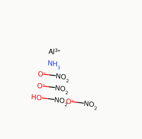 N.O=[N+]([O-])O.O=[N+]([O-])[O-].O=[N+]([O-])[O-].O=[N+]([O-])[O-].[Al+3]